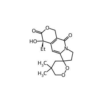 CC[C@@]1(O)C(=O)OCc2c1cc1n(c2=O)CCC12CC(C)(C)COO2